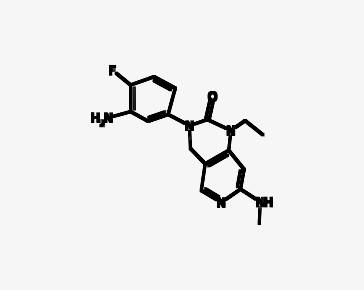 CCN1C(=O)N(c2ccc(F)c(N)c2)Cc2cnc(NC)cc21